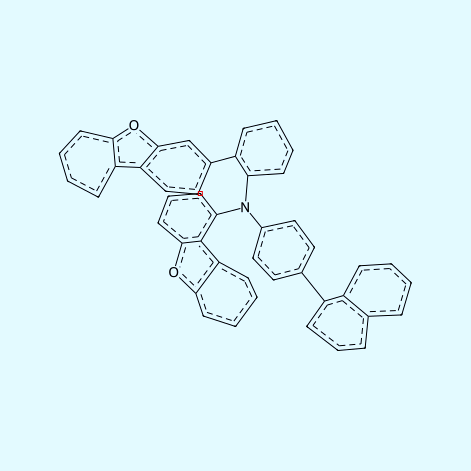 c1ccc(N(c2ccc(-c3cccc4ccccc34)cc2)c2cccc3oc4ccccc4c23)c(-c2ccc3c(c2)oc2ccccc23)c1